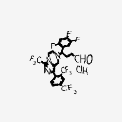 Cl.O=CCCC(c1cc(F)c(F)cc1F)N1CCn2c(C(F)(F)F)nc(-c3ccc(C(F)(F)F)cc3C(F)(F)F)c2C1